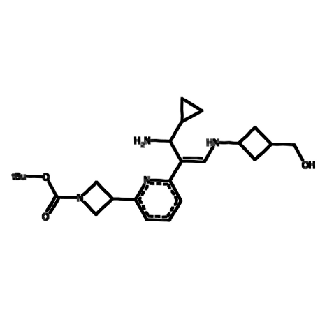 CC(C)(C)OC(=O)N1CC(c2cccc(/C(=C/NC3CC(CO)C3)C(N)C3CC3)n2)C1